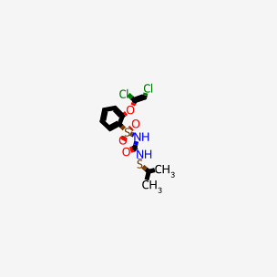 CC(C)SNC(=O)NS(=O)(=O)c1ccccc1OC(Cl)=CCl